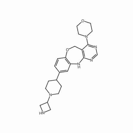 c1nc2c(c(N3CCOCC3)n1)COc1ccc(C3CCN(C4CNC4)CC3)cc1N2